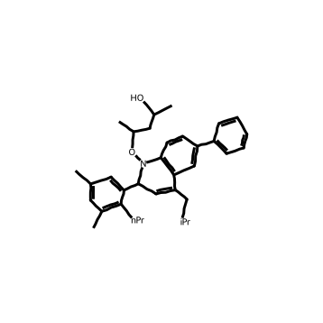 CCCc1c(C)cc(C)cc1C1C=C(CC(C)C)c2cc(-c3ccccc3)ccc2N1OC(C)CC(C)O